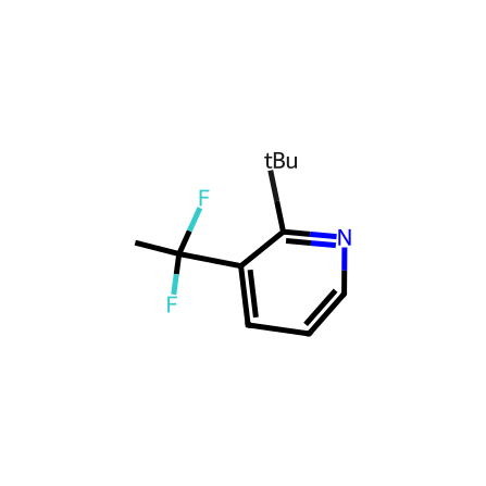 CC(C)(C)c1ncccc1C(C)(F)F